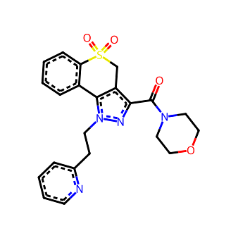 O=C(c1nn(CCc2ccccn2)c2c1CS(=O)(=O)c1ccccc1-2)N1CCOCC1